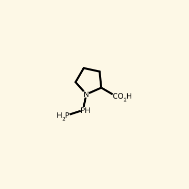 O=C(O)C1CCCN1PP